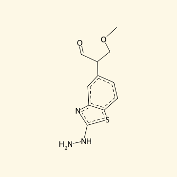 COCC(C=O)c1ccc2sc(NN)nc2c1